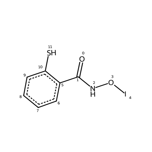 O=C(NOI)c1ccccc1S